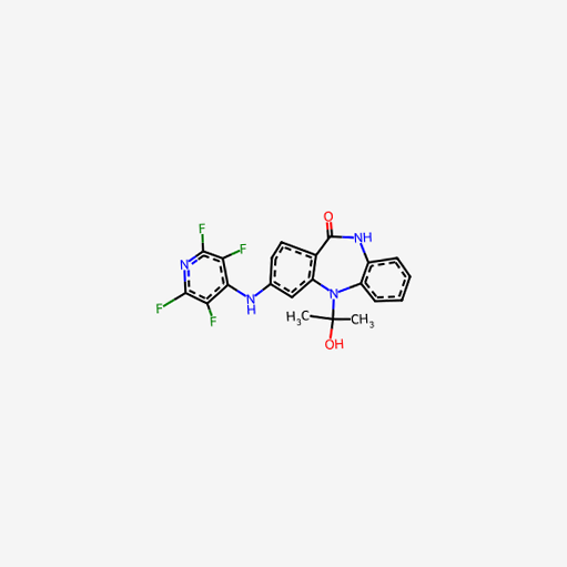 CC(C)(O)N1c2ccccc2NC(=O)c2ccc(Nc3c(F)c(F)nc(F)c3F)cc21